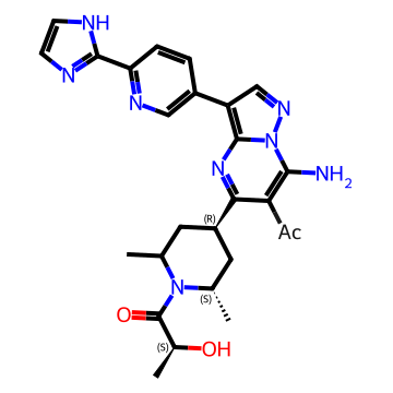 CC(=O)c1c([C@@H]2CC(C)N(C(=O)[C@H](C)O)[C@@H](C)C2)nc2c(-c3ccc(-c4ncc[nH]4)nc3)cnn2c1N